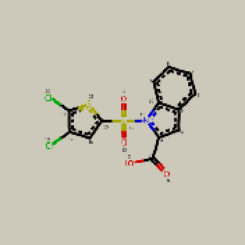 O=C(O)c1cc2ccccc2n1S(=O)(=O)c1cc(Cl)c(Cl)s1